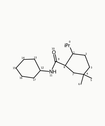 CC(C)C1CCC(C)(C)CC1C(=O)NC1CCCCC1